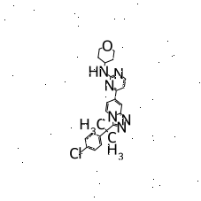 CC(C)(c1ccc(Cl)cc1)c1nnc2cc(-c3ccnc(NC4CCOCC4)n3)ccn12